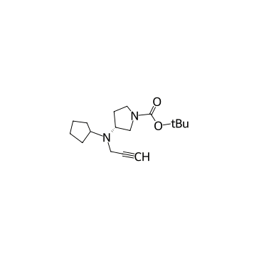 C#CCN(C1CCCC1)[C@@H]1CCN(C(=O)OC(C)(C)C)C1